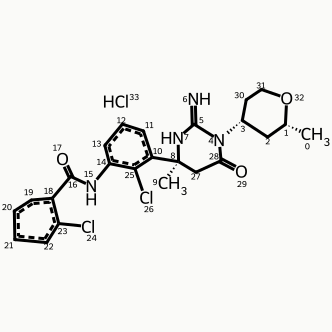 C[C@@H]1C[C@H](N2C(=N)N[C@](C)(c3cccc(NC(=O)c4ccccc4Cl)c3Cl)CC2=O)CCO1.Cl